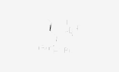 C/C=C/C[PH+](C(C)(C)C)C(C)(C)C.F[B-](F)(F)F